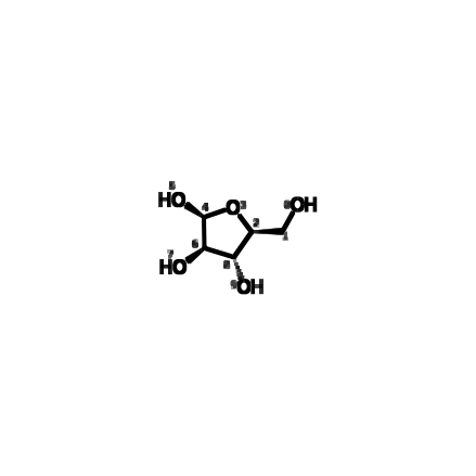 OC[C@@H]1O[C@H](O)[C@H](O)[C@H]1O